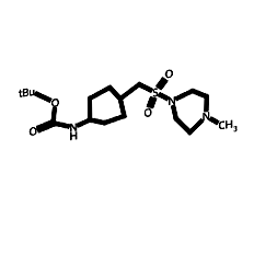 CN1CCN(S(=O)(=O)CC2CCC(NC(=O)OC(C)(C)C)CC2)CC1